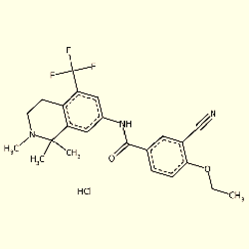 CCOc1ccc(C(=O)Nc2cc(C(F)(F)F)c3c(c2)C(C)(C)N(C)CC3)cc1C#N.Cl